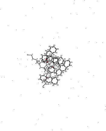 CCCCCCCC1=Cc2c(-c3c4ccccc4cc4ccccc34)ccc(-c3c4ccccc4cc4ccccc34)c2[CH]1[Zr]([CH3])([CH3])(=[SiH2])[CH]1C(CCCCCCC)=Cc2c(-c3c4ccccc4cc4ccccc34)ccc(-c3c4ccccc4cc4ccccc34)c21